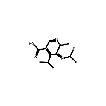 CC(F)/N=c1/c(C(C)C)c(C(=O)O)cnn1C